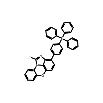 CCc1nc2c(-c3ccc([Si](c4ccccc4)(c4ccccc4)c4ccccc4)cc3)ccc3c2n1-c1ccccc1O3